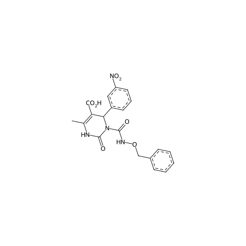 CC1=C(C(=O)O)C(c2cccc([N+](=O)[O-])c2)N(C(=O)NOCc2ccccc2)C(=O)N1